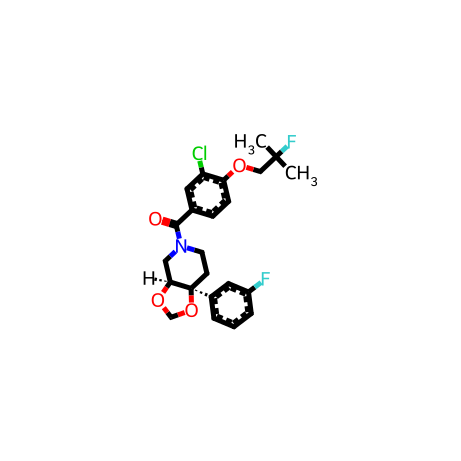 CC(C)(F)COc1ccc(C(=O)N2CC[C@@]3(c4cccc(F)c4)OCO[C@H]3C2)cc1Cl